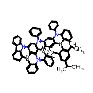 CC(C)c1cc(C(C)C)c(B2c3ccccc3N(c3ccccc3)c3cc4c(cc32)B2c3ccccc3N3c5ccccc5B5c6c(cc(c2c63)N4c2ccccc2)-n2c3ccccc3c3cccc5c32)c(C(C)C)c1